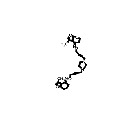 Cc1coc2c1/C(=N/OCC#CCN1CCN(CC#CCO/N=C3\CCCc4occ(C)c43)CC1)CCC2